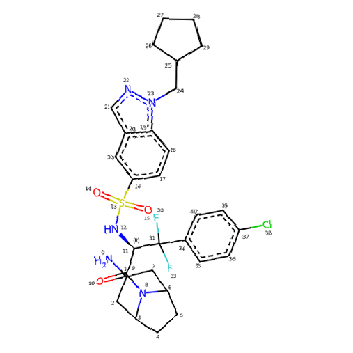 NC1CC2CCC(C1)N2C(=O)[C@@H](NS(=O)(=O)c1ccc2c(cnn2CC2CCCC2)c1)C(F)(F)c1ccc(Cl)cc1